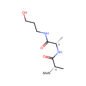 CN[C@@H](C)C(=O)N[C@@H](C)C(=O)NCCCO